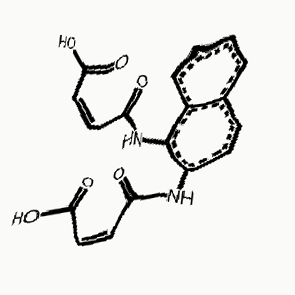 O=C(O)/C=C\C(=O)Nc1ccc2ccccc2c1NC(=O)/C=C\C(=O)O